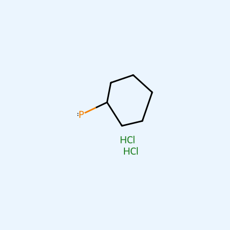 Cl.Cl.[P]C1CCCCC1